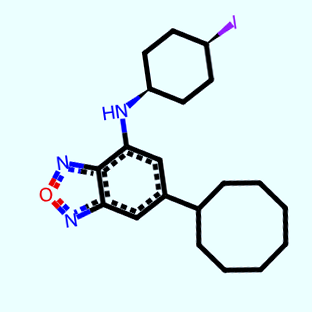 I[C@H]1CC[C@@H](Nc2cc(C3CCCCCCC3)cc3nonc23)CC1